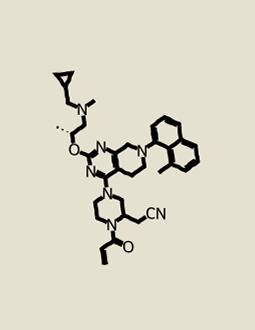 C=CC(=O)N1CCN(c2nc(O[C@H](C)CN(C)CC3CC3)nc3c2CCN(c2cccc4cccc(C)c24)C3)CC1CC#N